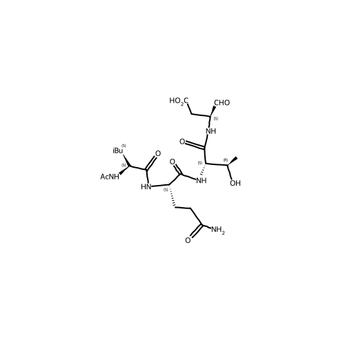 CC[C@H](C)[C@H](NC(C)=O)C(=O)N[C@@H](CCC(N)=O)C(=O)N[C@H](C(=O)N[C@H](C=O)CC(=O)O)[C@@H](C)O